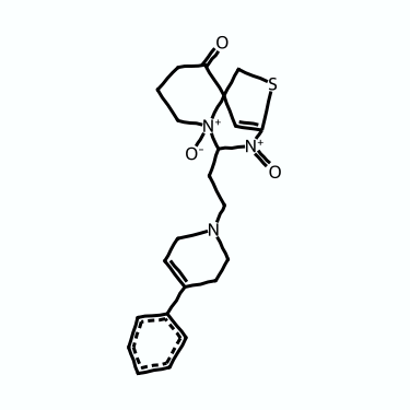 O=C1CCC[N+]2([O-])C(CCN3CC=C(c4ccccc4)CC3)[N+](=O)C3=CC12CS3